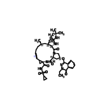 CCn1nc(O[C@@H]2C[C@H]3C(=O)NC4(C(=O)NS(=O)(=O)C5CC5)CC4/C=C\CC[C@@H](C)C[C@@H](C)[C@H](NC(=O)NC(C)(C)C)C(=O)N3C2)c2ccccc2c1=O